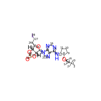 CC(C)(C)[Si](C)(C)OC1CCCC1Nc1ncnc2c1ncn2[C@@H]1O[C@H](CCI)[C@H]2OS(=O)O[C@H]21